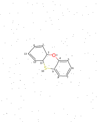 C1=CC2Oc3ccccc3SC2C=C1